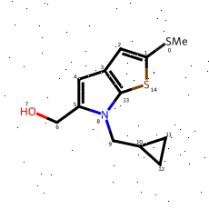 CSc1cc2cc(CO)n(CC3CC3)c2s1